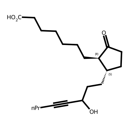 CCCC#CC(O)CC[C@H]1CCC(=O)[C@@H]1CCCCCCC(=O)O